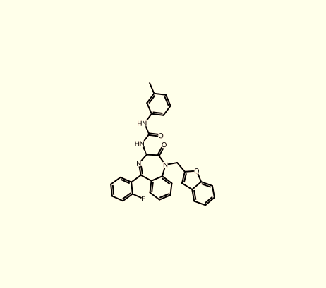 Cc1cccc(NC(=O)N[C@@H]2N=C(c3ccccc3F)c3ccccc3N(Cc3cc4ccccc4o3)C2=O)c1